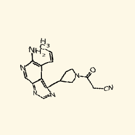 C/C=C\c1c(N)ncc2ncnc(C3CCN(C(=O)CC#N)C3)c12